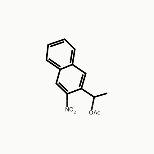 CC(=O)OC(C)c1cc2ccccc2cc1[N+](=O)[O-]